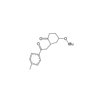 Cc1ccc(C(=O)CC2CC(OC(C)(C)C)CCC2=O)cc1